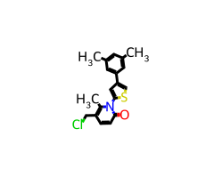 Cc1cc(C)cc(-c2csc(-n3c(C)c(CCl)ccc3=O)c2)c1